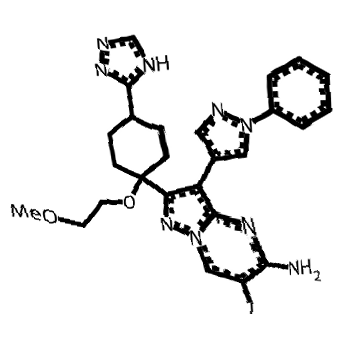 COCCOC1(c2nn3cc(I)c(N)nc3c2-c2cnn(-c3ccccc3)c2)CCC(c2nnc[nH]2)CC1